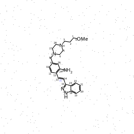 COCCCN1CCN(Cc2ccc(/C=C/c3n[nH]c4ccccc34)c(N)c2)CC1